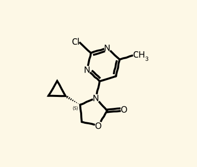 Cc1cc(N2C(=O)OC[C@@H]2C2CC2)nc(Cl)n1